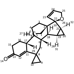 CC[C@]12CC[C@H]3[C@@H](CC4(CC4)C4=CC(=O)CC[C@@H]43)[C@@H]1[C@@H]1C[C@@H]1[C@@]21C=CCO1